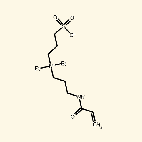 C=CC(=O)NCCC[N+](CC)(CC)CCCS(=O)(=O)[O-]